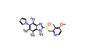 [2H]c1c(-n2cccc2)c([2H])c2nc([S+]([O-])Cc3nccc(OC)c3C)n([2H])c2c1[2H]